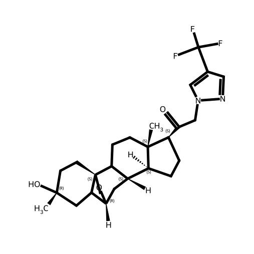 C[C@@]1(O)CC[C@]23CO[C@H](C[C@@H]4C2CC[C@]2(C)[C@@H](C(=O)Cn5cc(C(F)(F)F)cn5)CC[C@@H]42)C3C1